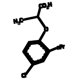 CCCc1cc(Cl)ccc1OC(C)C(=O)O